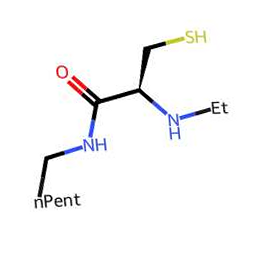 CCCCCCNC(=O)[C@@H](CS)NCC